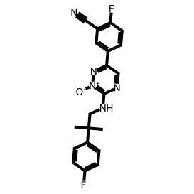 CC(C)(CNc1ncc(-c2ccc(F)c(C#N)c2)n[n+]1[O-])c1ccc(F)cc1